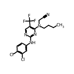 CCCCN(CC#N)c1nc(Nc2ccc(Cl)c(Cl)c2)ncc1C(F)(F)F